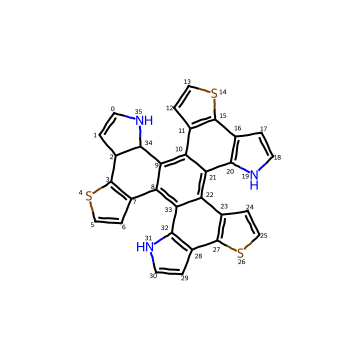 C1=CC2c3sccc3-c3c(c4c5ccsc5c5cc[nH]c5c4c4c5ccsc5c5cc[nH]c5c34)C2N1